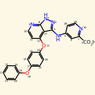 O=C(O)c1cc(Nc2n[nH]c3nccc(Oc4ccc(Oc5ccccc5)cc4)c23)ccn1